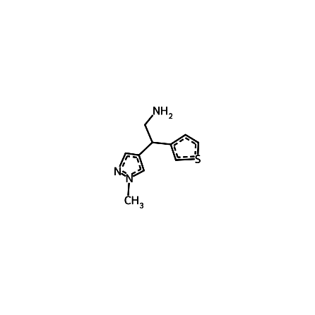 Cn1cc(C(CN)c2ccsc2)cn1